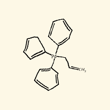 C=C[CH2][Pd]([C]1=CC=CC1)([c]1ccccc1)[c]1ccccc1